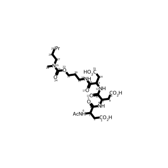 CC(=O)NC(CC(=O)O)C(=O)NC(CC(=O)O)C(=O)NC(CC(=O)O)C(=O)NCCCOC(=O)N(C)CCC(C)C